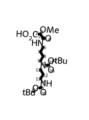 COC(C(=O)O)C(=O)NCCCCN(CCCNC(=O)OC(C)(C)C)C(=O)OC(C)(C)C